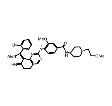 CN/C(=C1\C(=N)CCc2cnc(Nc3ccc(C(=O)NC4CCN(CCOC)CC4)cc3OC)nc21)c1ccccc1Cl